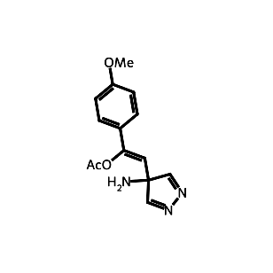 COc1ccc(C(=CC2(N)C=NN=C2)OC(C)=O)cc1